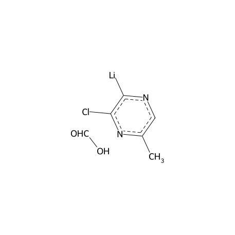 O=CO.[Li][c]1ncc(C)nc1Cl